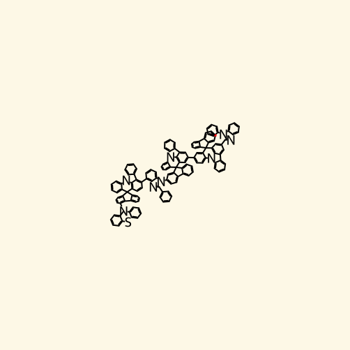 c1ccc(-c2nc3c(-c4ccc5c6c4c4ccccc4n6-c4ccccc4C54c5ccccc5-c5c(N6c7ccccc7Sc7ccccc76)cccc54)cccc3n2-c2ccc3c(c2)C2(c4ccccc4-3)c3ccccc3-n3c4ccccc4c4cc(-c5ccc6c(c5)C5(c7ccccc7-c7ccccc75)c5cc(-c7nc8ccccc8n7-c7ccccc7)cc7c8ccccc8n-6c57)cc2c43)cc1